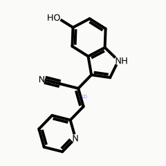 N#C/C(=C\c1ccccn1)c1c[nH]c2ccc(O)cc12